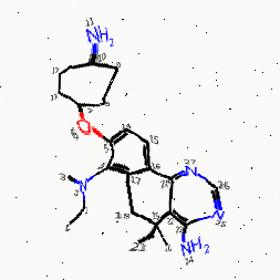 CCN(C)c1c(OC2CCC(N)CC2)ccc2c1CC(C)(C)c1c(N)ncnc1-2